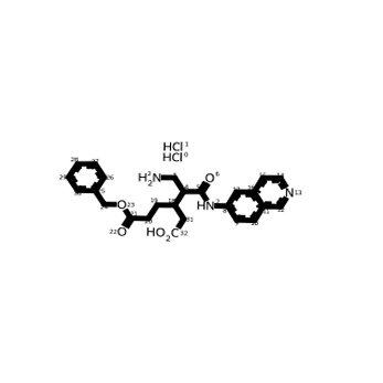 Cl.Cl.NCC(C(=O)Nc1ccc2cnccc2c1)C(CCC(=O)OCc1ccccc1)CC(=O)O